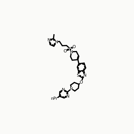 CCCc1cnc(N2CCC(Oc3nc4ccc(C5=CCN(S(=O)(=O)CCCn6ccnc6C)CC5)cc4s3)CC2)nc1